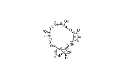 CN1CCC(=O)N(C)CCNc2ncnc3c2/C(=C/Nc2ccc(Cl)c(c2)OCC(O)C1)C(=O)N3